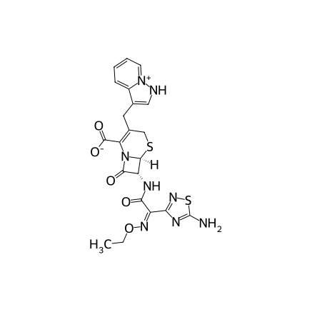 CCO/N=C(\C(=O)N[C@@H]1C(=O)N2C(C(=O)[O-])=C(Cc3c[nH][n+]4ccccc34)CS[C@@H]12)c1nsc(N)n1